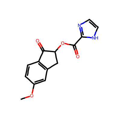 COc1ccc2c(c1)CC(OC(=O)c1ncc[nH]1)C2=O